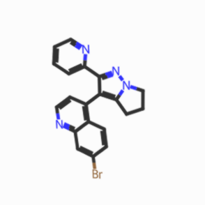 Brc1ccc2c(-c3c(-c4ccccn4)nn4c3CCC4)ccnc2c1